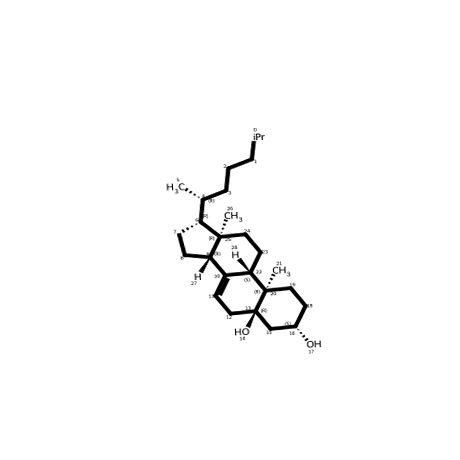 CC(C)CCC[C@@H](C)[C@H]1CC[C@H]2C3=CC[C@@]4(O)C[C@@H](O)CC[C@]4(C)[C@H]3CC[C@]12C